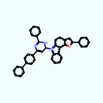 C1=C(c2ccc(-c3ccccc3)cc2)N=C(c2ccccc2)NC1n1c2ccccc2c2c3oc(-c4ccccc4)cc3ccc21